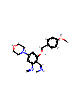 C=Nc1cc(N2CCOCC2)cc(OCc2ccc(OC)cc2)c1/C=N\C